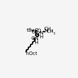 CCCCCCCC/C=C\CCCCCCCC(=O)N[C@H]1C[C@@H](C(=O)NCCN(C)C)N(C(=O)OC(C)(C)C)C1